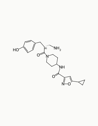 NC[C@@H](Cc1ccc(O)cc1)C(=O)N1CCC(NC(=O)c2cc(C3CC3)on2)CC1